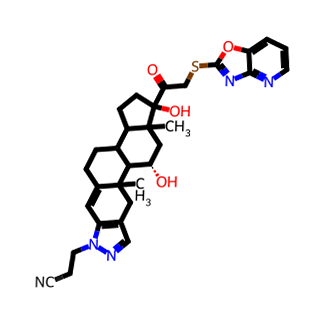 CC12Cc3cnn(CCC#N)c3C=C1CCC1C2[C@@H](O)CC2(C)C1CCC2(O)C(=O)CSc1nc2ncccc2o1